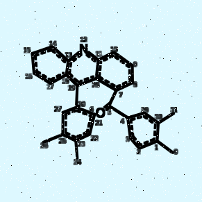 Cc1ccc(C(=O)c2cccc3nc4ccccc4c(-c4ccc(C)c(C)c4)c23)cc1C